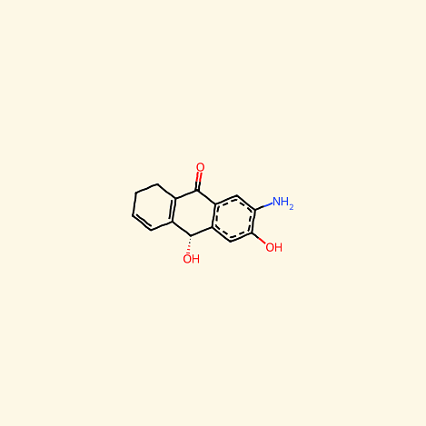 Nc1cc2c(cc1O)[C@H](O)C1=C(CCC=C1)C2=O